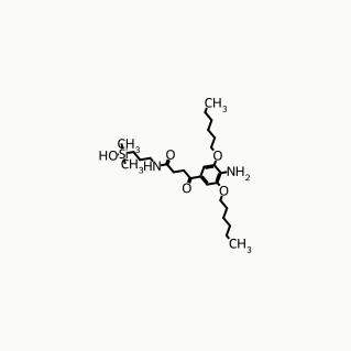 CCCCCCOc1cc(C(=O)CCC(=O)NCCC[Si](C)(C)O)cc(OCCCCCC)c1N